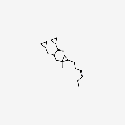 CC/C=C\CCC1CC1(C)CN(CC1CC1)C(=O)C1CC1